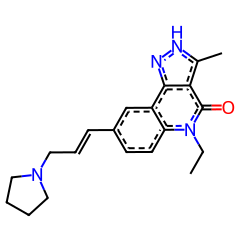 CCn1c(=O)c2c(C)[nH]nc2c2cc(/C=C/CN3CCCC3)ccc21